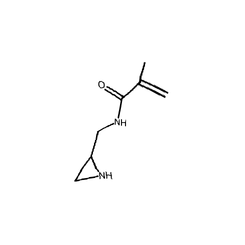 C=C(C)C(=O)NCC1CN1